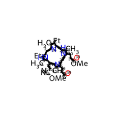 CCC1=C(C)c2cc3[nH]c(c(C)c3CC)c(C=CC#N)c3nc(cc4[nH]c(cc1n2)c(C)c4CCC(=O)OC)C(CCC(=O)OC)=C3C.[Ni]